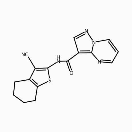 N#Cc1c(NC(=O)c2cnn3cccnc23)sc2c1CCCC2